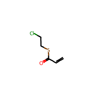 C=CC(=O)SCCCl